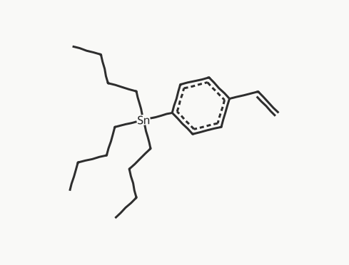 C=Cc1cc[c]([Sn]([CH2]CCC)([CH2]CCC)[CH2]CCC)cc1